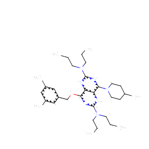 COCCN(CCOC)c1nc(N2CCC(OC)CC2)c2nc(N(CCOC)CCOC)nc(OCc3cc(OC)cc(OC)c3)c2n1